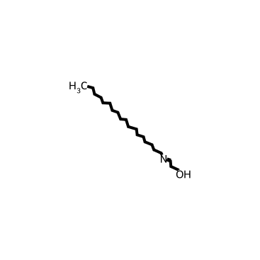 CCCCCCCCCCCCCCCCCCN=CCCO